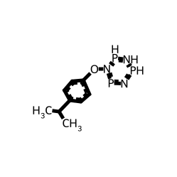 CC(C)c1ccc(On2pn[pH][nH][pH]2)cc1